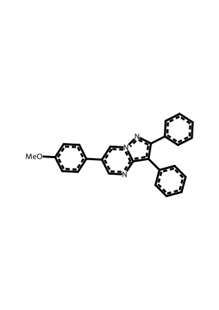 COc1ccc(-c2cnc3c(-c4ccccc4)c(-c4ccccc4)nn3c2)cc1